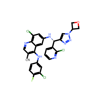 N#Cc1cnc2c(Cl)cc(N[C@H](c3cn(C4COC4)nn3)c3cccnc3Cl)cc2c1Nc1ccc(F)c(Cl)c1